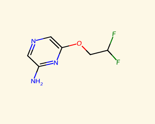 Nc1cncc(OCC(F)F)n1